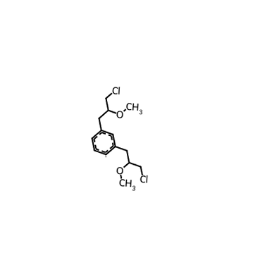 COC(CCl)Cc1[c]ccc(CC(CCl)OC)c1